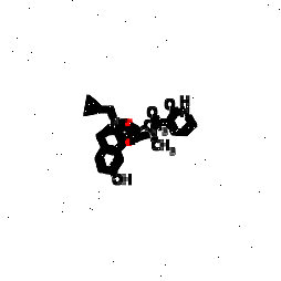 C[C@H]1CC23CCC(N(C)C(=O)c4ccc[nH]c4=O)C1C21CCN(CC2CC2)C3Cc2ccc(O)cc21